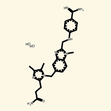 Cc1nc(CCC(N)=O)n(Cc2ccc3c(c2)nc(CNc2ccc(C(=N)N)cc2)n3C)c1C.Cl.Cl